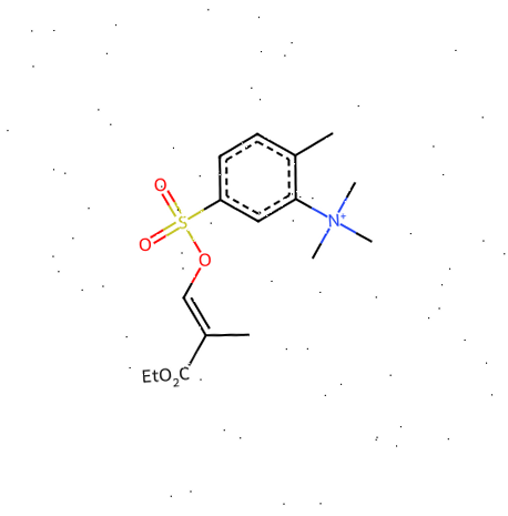 CCOC(=O)C(C)=COS(=O)(=O)c1ccc(C)c([N+](C)(C)C)c1